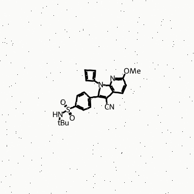 COc1ccc2c(C#N)c(-c3ccc(S(=O)(=O)NC(C)(C)C)cc3)n(C3=CC=C3)c2n1